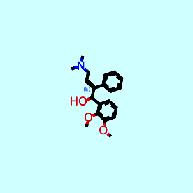 COc1cccc(C(O)/C(=C/CN(C)C)c2ccccc2)c1OC